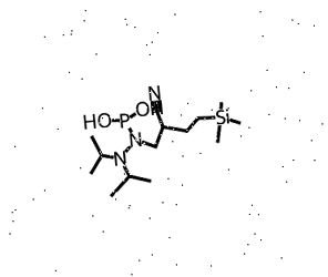 CC(C)N(C(C)C)N(CC(C#N)CC[Si](C)(C)C)P(O)O